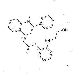 C=C(/C=C1\C=C(c2ccccc2)N(C)c2ccccc21)Sc1ccccc1NCCO